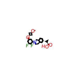 CO[C@H]1C[C@H](Oc2cc(F)c(F)c(N3CCc4cc([C@@H]5C[C@H]5C(=O)O)ccc4C3)c2)C1